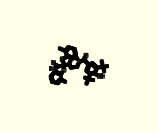 Cc1ccccc1OC(Oc1ccccc1C)(C(=O)O)C1CCN(C(=O)c2cc(C(C)(C)C)c(O)c(C(C)(C)C)c2)CC1